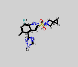 Cc1cc(F)c2[nH]c(S(=O)(=O)N3CC4(CC4)C3)cc2c1-c1ncn(C)n1